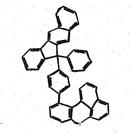 c1ccc(C2(c3ccc(-c4cccc5c4-c4cccc6cccc(c46)S5)cc3)c3ccccc3-c3cc4ccccc4cc32)cc1